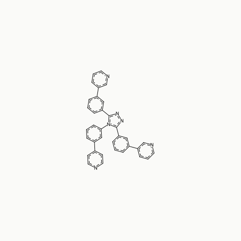 c1cncc(-c2cccc(-c3nnc(-c4cccc(-c5cccnc5)c4)n3-c3cccc(-c4ccncc4)c3)c2)c1